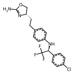 NC1=N[C@@H](CCc2ccc(N[C@@H](c3ccc(Cl)cc3)C(F)(F)F)cc2)CO1